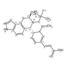 COC1C=C(/C=C/C(=O)O)C=CC1[C@@H]1c2ccc3[nH]ncc3c2C[C@@H](C)N1CC(C)(C)F